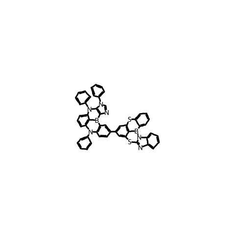 c1ccc(N2c3ccc(-c4cc5c6c(c4)Sc4nc7ccccc7n4B6c4ccccc4S5)cc3B3c4ncn(-c5ccccc5)c4N(c4ccccc4)c4cccc2c43)cc1